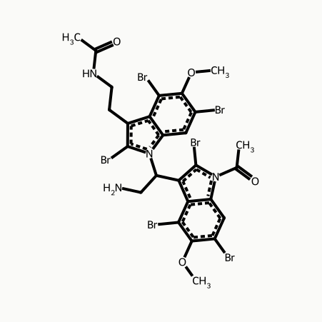 COc1c(Br)cc2c(c1Br)c(C(CN)n1c(Br)c(CCNC(C)=O)c3c(Br)c(OC)c(Br)cc31)c(Br)n2C(C)=O